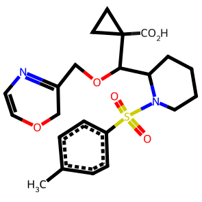 Cc1ccc(S(=O)(=O)N2CCCCC2C(OCC2=NC=COC2)C2(C(=O)O)CC2)cc1